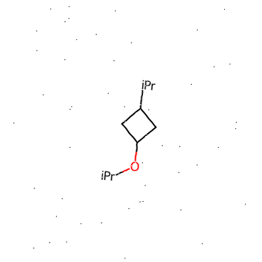 CC(C)OC1CC(C(C)C)C1